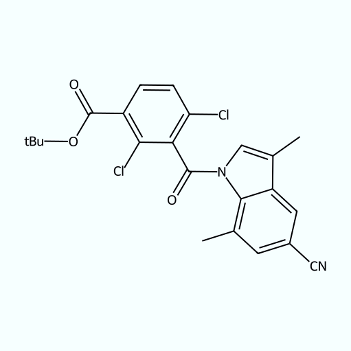 Cc1cn(C(=O)c2c(Cl)ccc(C(=O)OC(C)(C)C)c2Cl)c2c(C)cc(C#N)cc12